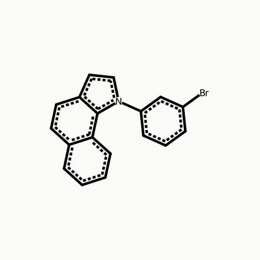 Brc1cccc(-n2ccc3ccc4ccccc4c32)c1